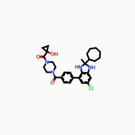 CC1(C2CCCCCC2)Nc2cc(Cl)cc(-c3ccc(C(=O)N4CCN(C(=O)C5(O)CC5)CC4)cc3)c2N1